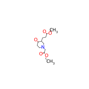 CCOC(=O)CN1CCC(=O)C(CCC(=O)OC)C1